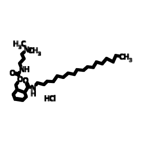 CCCCCCCCCCCCCCCCCCNC(=O)C1CC=CCC1COC(=O)NCCCN(C)C.Cl